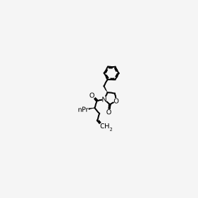 C=CC[C@@H](CCC)C(=O)N1C(=O)OC[C@@H]1Cc1ccccc1